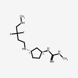 CNCC(F)(F)CCN[C@H]1CC[C@H](NC(=N)NC)C1